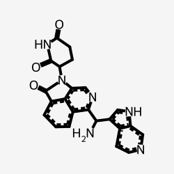 NC(c1c[nH]c2cnccc12)c1ncc2c3c(cccc13)C(=O)N2C1CCC(=O)NC1=O